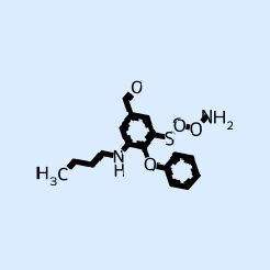 CCCCNc1cc(C=O)cc(SOON)c1Oc1ccccc1